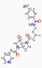 CC(CCNC(=O)c1ccc(C(C)C)cc1)CC(=O)N1CCC2C1C(=O)CN2C(=O)Cc1cccnc1